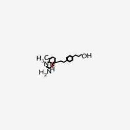 CC1=CC=CC23NC(CCc4ccc(CCCO)cc4)=CC=C2C(N)=CN=C13